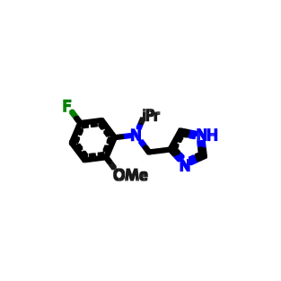 COc1ccc(F)cc1N(Cc1c[nH]cn1)C(C)C